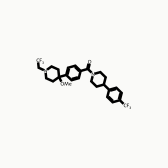 COC1(c2ccc(C(=O)N3CCC(c4ccc(C(F)(F)F)cc4)CC3)cc2)CCN(CC(F)(F)F)CC1